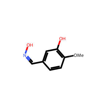 COc1ccc(/C=N\O)cc1O